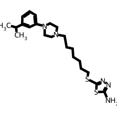 CC(C)c1cccc(N2CCN(CCCCCCCSc3nnc(N)s3)CC2)c1